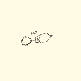 Cl.c1cncc(N2C3CCC2CNC3)c1